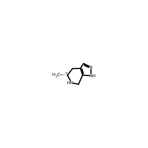 C[C@@H]1Cc2cn[nH]c2CN1